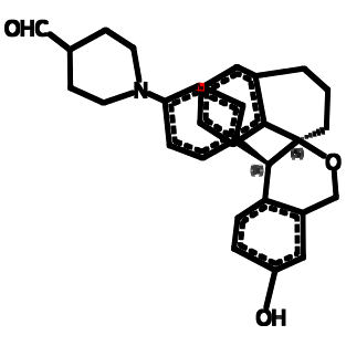 O=CC1CCN(c2ccc([C@@H]3c4ccc(O)cc4CO[C@@]34CCCc3ccccc34)cc2)CC1